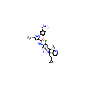 C=C(NC(=O)c1cc(C(F)(F)F)nn1-c1cccc(CN)c1)/C(F)=C\C=C(/C)C(N)(CCC1CC1)c1cccnc1